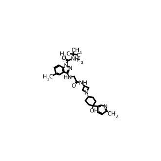 Cc1ccc2c(c1)c(NCC(=O)NC1CN([C@H]3CC[C@@](O)(c4ccc(C)nc4)CC3)C1)nn2C(=O)NC(C)(C)C